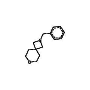 c1ccc(CN2CC3(CCOCC3)C2)cc1